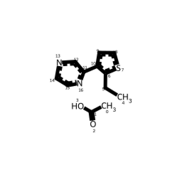 CC(=O)O.CCc1sccc1-c1cnccn1